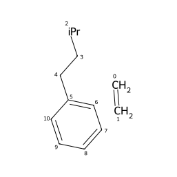 C=C.CC(C)CCc1ccccc1